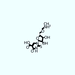 CNCOC[C@H]1O[C@@H](n2cc(C(=O)O)c(=O)[nH]c2=S)[C@H](O)[C@@H]1O